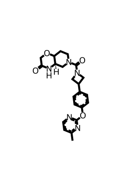 Cc1ccnc(Oc2ccc(C3CN(C(=O)N4CCC5OCC(=O)N[C@@H]5C4)C3)cc2)n1